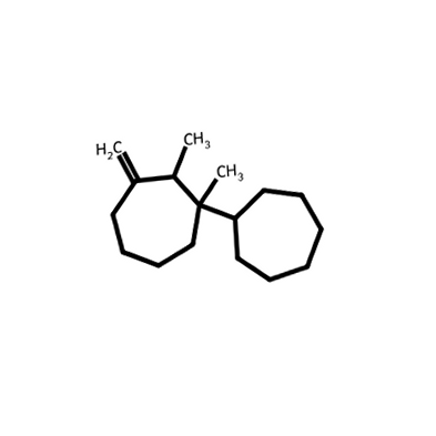 C=C1CCCCC(C)(C2CCCCCC2)C1C